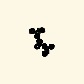 c1ccc(-n2c3ccc(-c4ccc5c(c4)c4ccccc4n5-c4ccc5c(c4)n4c6ccccc6nc4n5-c4ccccc4)cc3n3c4ccccc4nc23)cc1